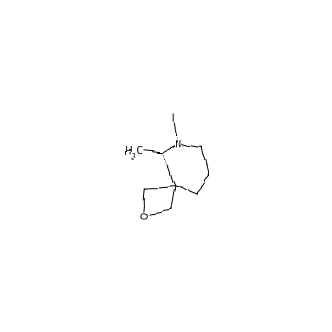 CC1N(I)CCCC12COC2